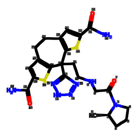 N#C[C@@H]1CCCN1C(=O)CNCCC1(c2nn[nH]n2)c2sc(C(N)=O)cc2CCc2cc(C(N)=O)sc21